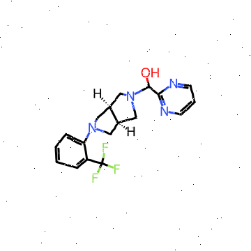 OC(c1ncccn1)N1C[C@H]2CN(c3ccccc3C(F)(F)F)C[C@H]2C1